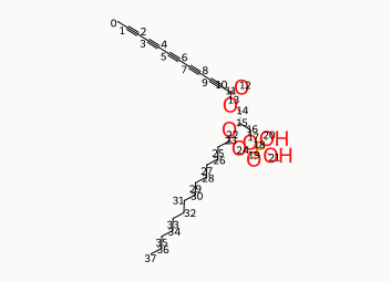 CC#CC#CC#CC#CC#CC(=O)OC[C@H](COP(=O)(O)O)OC(=O)CCCCCCCCCCCCC